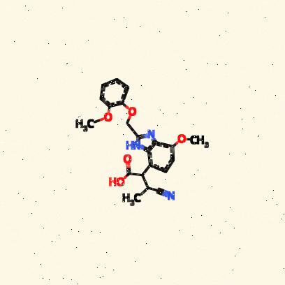 COc1ccccc1OCc1nc2c(OC)ccc(C(C(=O)O)C(C)C#N)c2[nH]1